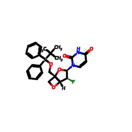 CC(C)(C)[Si](OC[C@]12CO[C@H]1[C@@H](F)[C@H](n1ccc(=O)[nH]c1=O)O2)(c1ccccc1)c1ccccc1